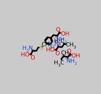 CC(C)C[C@H](N)C(=O)O.CC[C@H](C)[C@H](N)C(=O)O.CSCC[C@H](N)C(=O)O.N[C@@H](Cc1ccccc1)C(=O)O